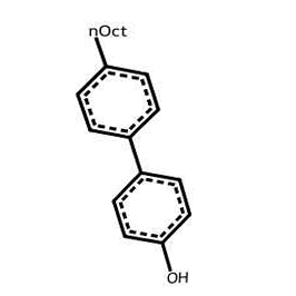 CCCCCCCCc1ccc(-c2ccc(O)cc2)cc1